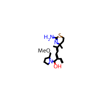 C=C/C(=C\C=C(/C)C1(C)CCSC(N)=N1)C(O)N1CCCC1COC